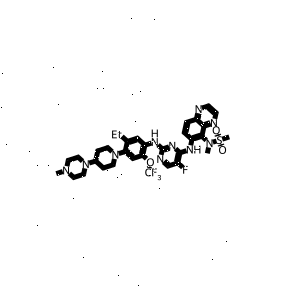 CCc1cc(Nc2ncc(F)c(Nc3ccc4nccnc4c3N(C)S(C)(=O)=O)n2)c(OC(F)(F)F)cc1N1CCC(N2CCN(C)CC2)CC1